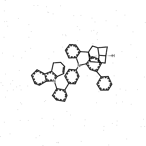 C1=Cc2c(c3ccccc3n2-c2ccccc2-c2ccc(N(c3cccc(-c4ccccc4)c3)c3ccccc3C34CC5C[C@H]6CC(C3)[C@@]56C4)cc2)CC1